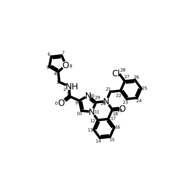 O=C(NCc1ccco1)c1cn2c3ccccc3c(=O)n(Cc3ccccc3Cl)c2n1